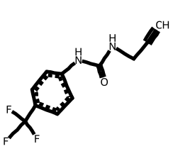 C#CCNC(=O)Nc1ccc(C(F)(F)F)cc1